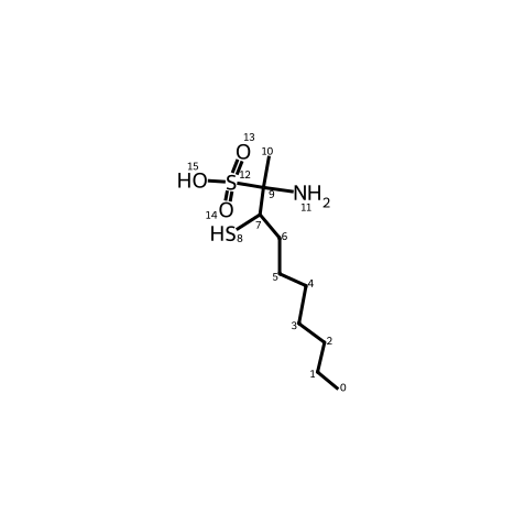 CCCCCCCC(S)C(C)(N)S(=O)(=O)O